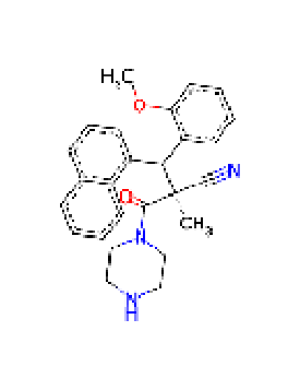 COc1ccccc1C(c1cccc2ccccc12)[C@@](C)(C#N)C(=O)N1CCNCC1